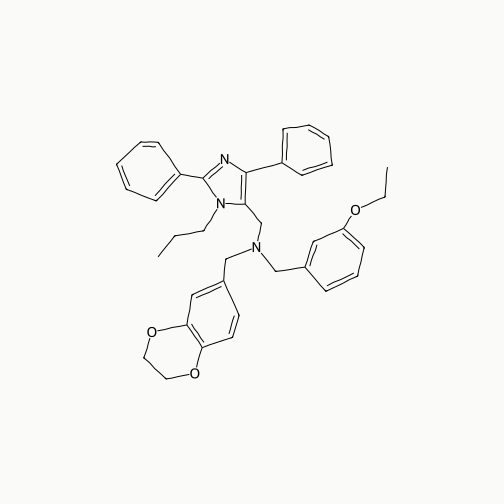 CCCn1c(-c2ccccc2)nc(-c2ccccc2)c1CN(Cc1cccc(OCC)c1)Cc1ccc2c(c1)OCCO2